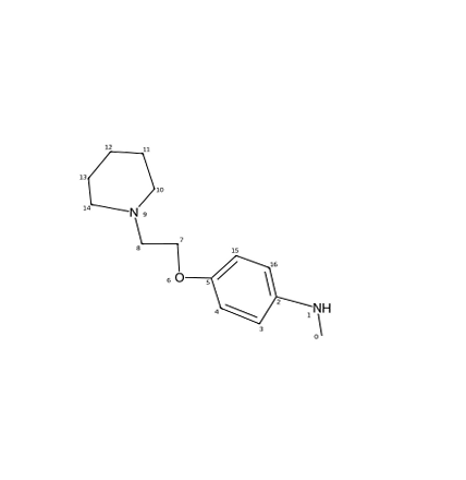 CNc1ccc(OCCN2CCCCC2)cc1